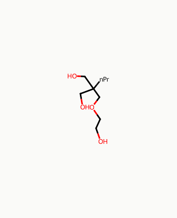 CCCC(CO)(CO)COCCO